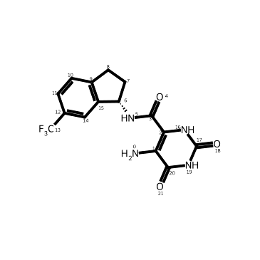 Nc1c(C(=O)N[C@H]2CCc3ccc(C(F)(F)F)cc32)[nH]c(=O)[nH]c1=O